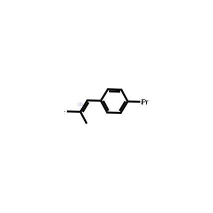 [CH2]/C(C)=C/c1ccc(C(C)C)cc1